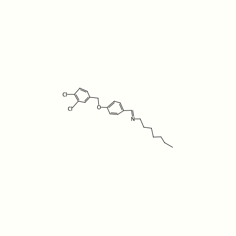 CCCCCCCN=Cc1ccc(OCc2ccc(Cl)c(Cl)c2)cc1